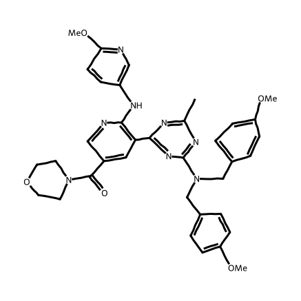 COc1ccc(CN(Cc2ccc(OC)cc2)c2nc(C)nc(-c3cc(C(=O)N4CCOCC4)cnc3Nc3ccc(OC)nc3)n2)cc1